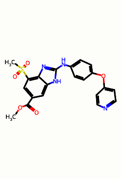 COC(=O)c1cc(S(C)(=O)=O)c2nc(Nc3ccc(Oc4ccncc4)cc3)[nH]c2c1